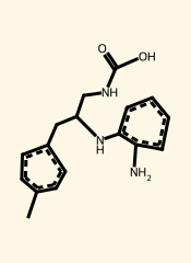 Cc1ccc(CC(CNC(=O)O)Nc2ccccc2N)cc1